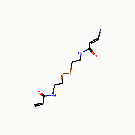 C=CC(=O)NCCSSCCNC(=O)/C=C/I